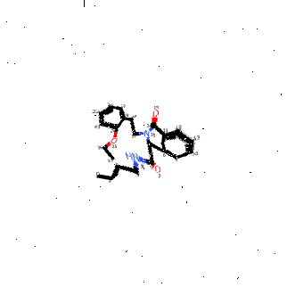 CCCCNC(=O)C1c2ccccc2C(=O)N1CCc1ccccc1OCC